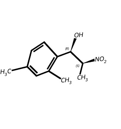 Cc1ccc([C@@H](O)[C@H](C)[N+](=O)[O-])c(C)c1